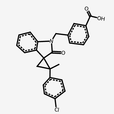 CC1(c2ccc(Cl)cc2)CC12C(=O)N(Cc1cccc(C(=O)O)c1)c1ccccc12